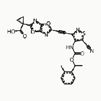 Cc1ccccc1C(C)OC(=O)Nc1c(C#Cc2nc3oc(C4(C(=O)O)CC4)nc3o2)nsc1C#N